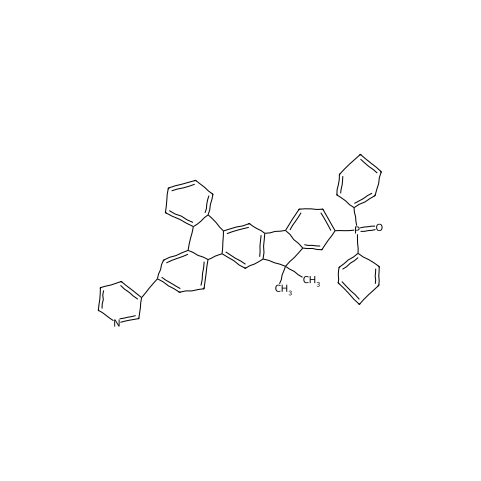 CC1(C)c2cc(P(=O)(c3ccccc3)c3ccccc3)ccc2-c2cc3c4ccccc4c4cc(-c5cccnc5)ccc4c3cc21